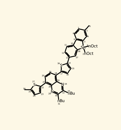 CCCCCCCC[Si]1(CCCCCCCC)c2cc(C)ccc2-c2ccc(-c3ccc(-c4ccc(-c5ccc(C)s5)c5nc(CCCC)c(CCCC)nc45)s3)cc21